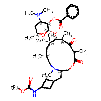 CO[C@]1(C)C[C@@H](C)CN(C)[C@H](CC2CC(NC(=O)OC(C)(C)C)C2)COC(=O)C(C)C(=O)[C@H](C)[C@H]1O[C@@H]1O[C@H](C)C[C@H](N(C)C)[C@H]1OC(=O)c1ccccc1